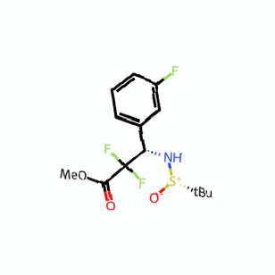 COC(=O)C(F)(F)[C@@H](N[S@@+]([O-])C(C)(C)C)c1cccc(F)c1